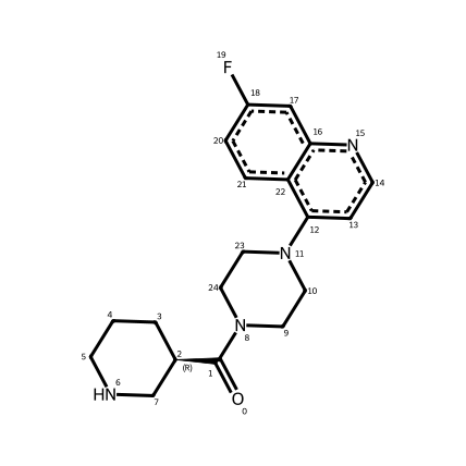 O=C([C@@H]1CCCNC1)N1CCN(c2ccnc3cc(F)ccc23)CC1